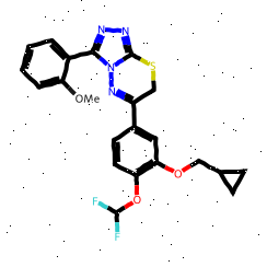 COc1ccccc1-c1nnc2n1N=C(c1ccc(OC(F)F)c(OCC3CC3)c1)CS2